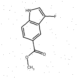 COC(=O)c1ccc2[nH]cc(F)c2c1